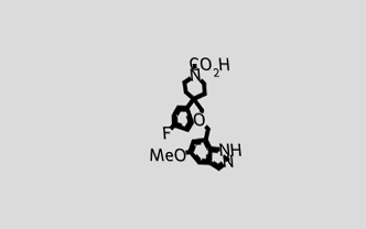 COc1cc(COCC2(c3ccc(F)cc3)CCN(C(=O)O)CC2)c2[nH]ncc2c1